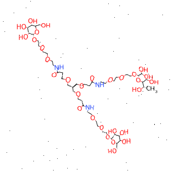 C[C@H](O)C(CO)O[C@H](OCCOCCOCCNC(=O)CCOCC(COCCC(=O)NCCOCCOCCO[C@H]1OC(CO)[C@@H](O)C(O)C1O)COCCC(=O)NCCOCCOCCO[C@H]1OC(CO)[C@H](O)C(O)C1O)C(O)O